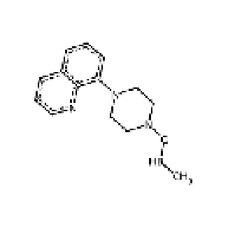 CBON1CCN(c2cccc3cccnc23)CC1